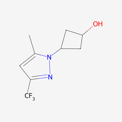 Cc1cc(C(F)(F)F)nn1C1CC(O)C1